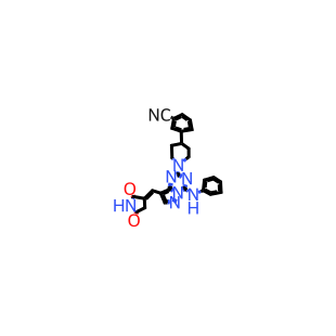 N#Cc1cccc(C2CCN(c3nc(Nc4ccccc4)n4ncc(/C=C5\CC(=O)NC5=O)c4n3)CC2)c1